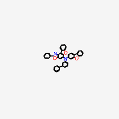 c1ccc(-c2cccc(N(c3ccc4c(c3)oc3ccccc34)c3cc4oc(-c5ccccc5)nc4c4c3oc3ccccc34)c2)cc1